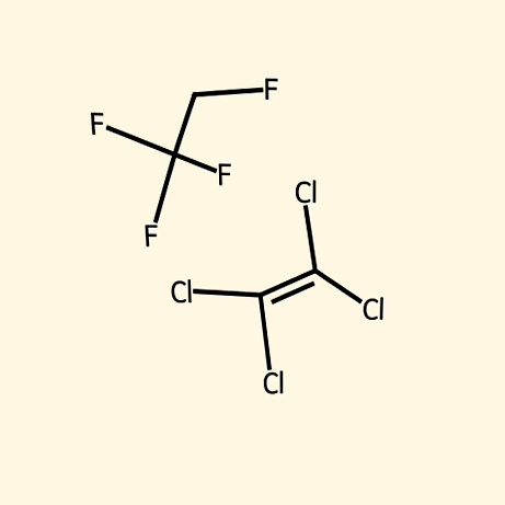 ClC(Cl)=C(Cl)Cl.FCC(F)(F)F